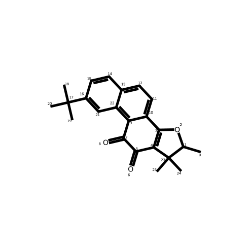 CC1OC2=C(C(=O)C(=O)c3c2ccc2ccc(C(C)(C)C)cc32)C1(C)C